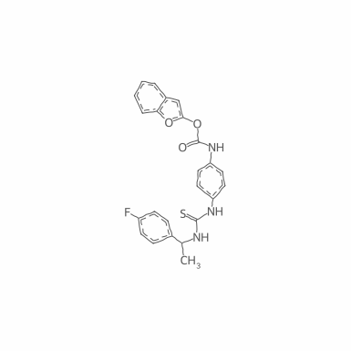 CC(NC(=S)Nc1ccc(NC(=O)Oc2cc3ccccc3o2)cc1)c1ccc(F)cc1